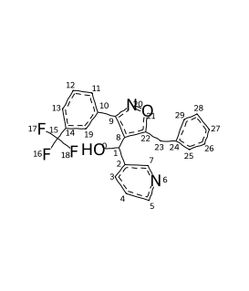 OC(c1cccnc1)c1c(-c2cccc(C(F)(F)F)c2)noc1Cc1ccccc1